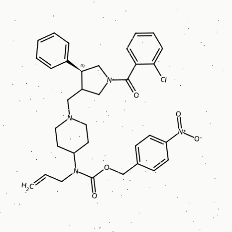 C=CCN(C(=O)OCc1ccc([N+](=O)[O-])cc1)C1CCN(CC2CN(C(=O)c3ccccc3Cl)C[C@@H]2c2ccccc2)CC1